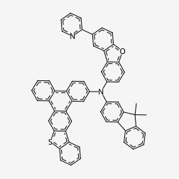 CC1(C)c2ccccc2-c2ccc(N(c3ccc4oc5ccc(-c6ccccn6)cc5c4c3)c3ccc4c5ccccc5c5cc6sc7ccccc7c6cc5c4c3)cc21